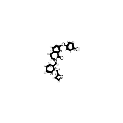 O=C1c2cc(Oc3ccc(Cl)cc3)ccc2CCN1CC1C=CC=C[C@@H]1CC1CCO1